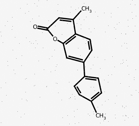 Cc1ccc(-c2ccc3c(C)cc(=O)oc3c2)cc1